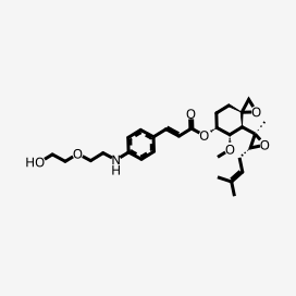 CO[C@@H]1[C@H](OC(=O)/C=C/c2ccc(NCCOCCO)cc2)CC[C@]2(CO2)[C@H]1[C@@]1(C)O[C@@H]1CC=C(C)C